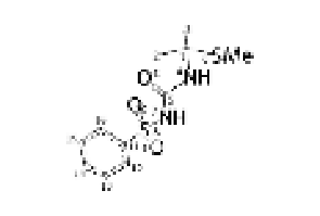 CSC(C)(C)NC(=O)NS(=O)(=O)c1ccccc1